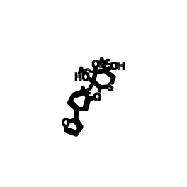 CC(=O)[C@]1(O)[C@@](O)(C(C)=O)CS[C@H](Oc2cccc(-c3ccco3)c2)[C@@]1(O)C(C)=O